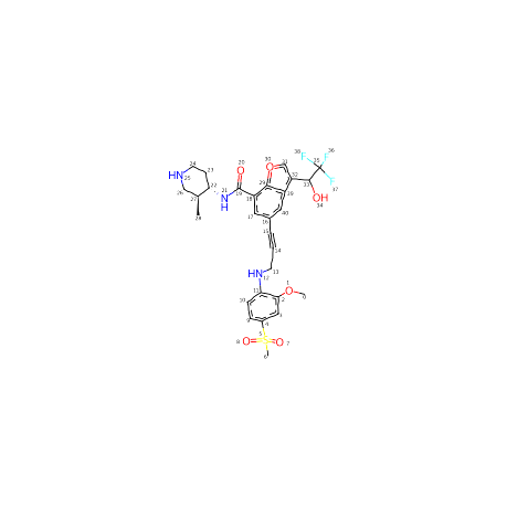 COc1cc(S(C)(=O)=O)ccc1NCC#Cc1cc(C(=O)N[C@H]2CCNC[C@@H]2C)c2occ(C(O)C(F)(F)F)c2c1